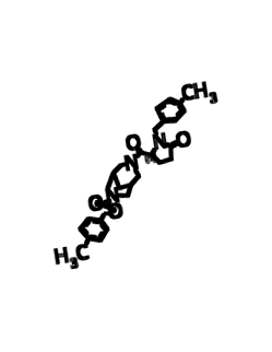 Cc1ccc(CN2C(=O)CC[C@H]2C(=O)N2CC3CC(C2)CN(S(=O)(=O)c2ccc(C)cc2)C3)cc1